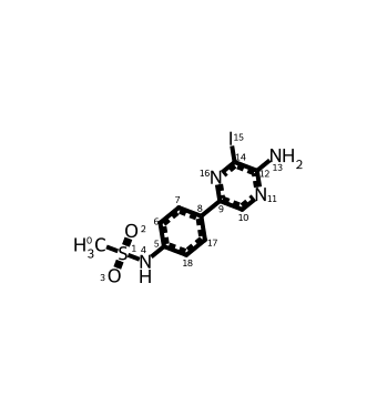 CS(=O)(=O)Nc1ccc(-c2cnc(N)c(I)n2)cc1